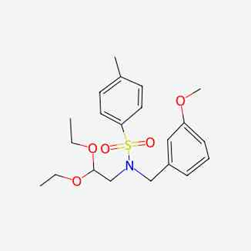 CCOC(CN(Cc1cccc(OC)c1)S(=O)(=O)c1ccc(C)cc1)OCC